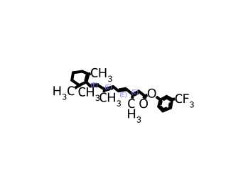 CC1=C(/C=C/C(C)=C/C=C/C(C)=C/C(=O)Oc2cccc(C(F)(F)F)c2)C(C)(C)CCC1